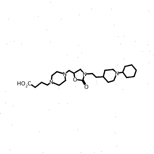 O=C(O)CCCN1CCN(CC2CN(CCC3CCN(C4CCCCC4)CC3)C(=O)O2)CC1